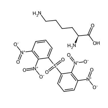 NCCCC[C@H](N)C(=O)O.O=[N+]([O-])c1cccc(S(=O)(=O)c2cccc([N+](=O)[O-])c2[N+](=O)[O-])c1[N+](=O)[O-]